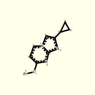 CC(C)Oc1ccn2cc(C3CC3)nc2n1